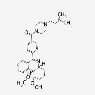 COC1(OC)CCC[C@H]2N=C(c3ccc(C(=O)N4CCN(CCN(C)C)CC4)cc3)c3ccccc3[C@H]21